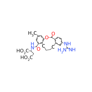 Cc1cc2c(c(C(=O)NC(CC(=O)O)C(=O)O)c1)CCCCc1cc(NC(=N)N)ccc1C(=O)O2